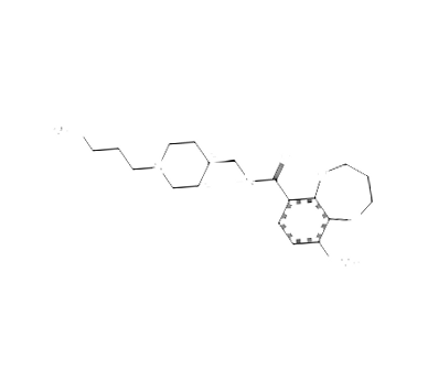 COCCCN1CC[C@@H](CNC(=O)c2ccc(OC)c3c2OCCCO3)[C@H](O)C1